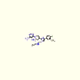 Cc1cc(-c2cn(CCNCC(C)C)c(C3CCN(c4ncnc(N)c4N)CC3)n2)ccc1F